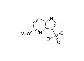 COc1ccc2ncc(S(=O)(=O)Cl)n2n1